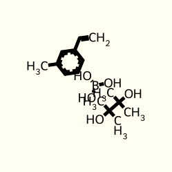 C=Cc1cccc(C)c1.CC(C)(O)C(C)(C)O.OB(O)O